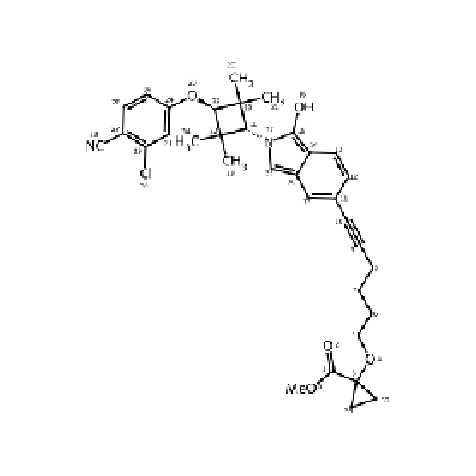 COC(=O)C1(OCCCCC#Cc2ccc3c(O)n([C@H]4C(C)(C)[C@H](Oc5ccc(C#N)c(Cl)c5)C4(C)C)cc3c2)CC1